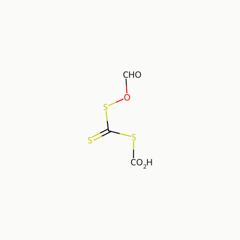 O=COSC(=S)SC(=O)O